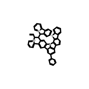 C=CC1C(C2c3ccccc3-c3cccc[n+]32)c2cc3c(cc2-c2cccc[n+]21)c1cc(-c2ccccc2)cc2c4ccc5c6ccccc6sc5c4n3c12